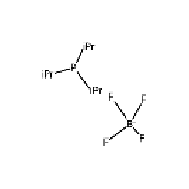 CC(C)P(C(C)C)C(C)C.F[B-](F)(F)F